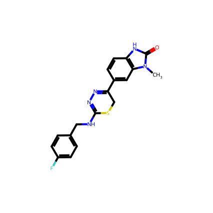 Cn1c(=O)[nH]c2ccc(C3=NN=C(NCc4ccc(F)cc4)SC3)cc21